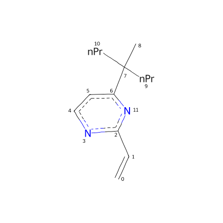 C=Cc1nccc(C(C)(CCC)CCC)n1